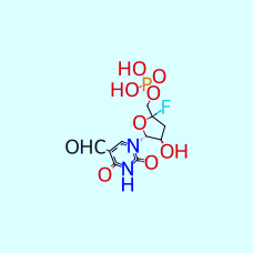 O=Cc1cn([C@@H]2O[C@](F)(COP(=O)(O)O)C[C@H]2O)c(=O)[nH]c1=O